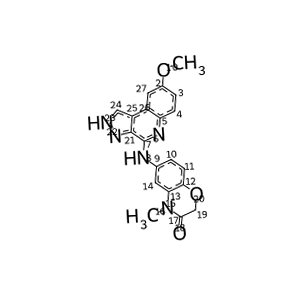 COc1ccc2nc(Nc3ccc4c(c3)N(C)C(=O)CO4)c3n[nH]cc3c2c1